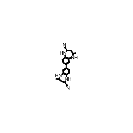 CC1CC(C#N)Nc2ccc(-c3ccc4c(c3)NC(C)CC(C#N)N4)cc2N1